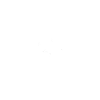 [2H]c1c(O)nn(C)c1Cl